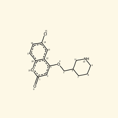 O=c1cc(OCC2CCCNC2)c2cc(Cl)ccc2o1